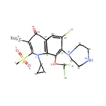 CCOC(=O)c1c(S(C)(=O)=O)n(C2CC2)c2c(OC(F)F)c(N3CCNCC3)c(F)cc2c1=O